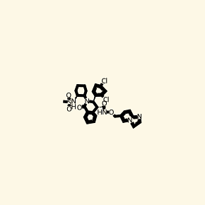 CS(=O)(=O)N[C@H]1CCCCC1N1C(=O)c2ccccc2[C@@H](C(=O)NOCc2ccc3nccn3c2)[C@@H]1c1ccc(Cl)cc1Cl